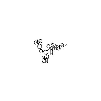 CCOP(C)(=O)Cc1csc(NC(=O)c2cc(Oc3ccc(S(C)(=O)=O)cc3)cc(Oc3ncccn3)c2)n1